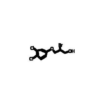 OCC(Br)COc1ccc(Cl)c(Cl)c1